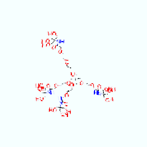 O=C(COCCOCCOCC(COCCOCC(=O)NC(CO)(CO)CO)(COCCOCC(=O)NC(CO)(CO)CO)COCCOCC(=O)NC(CO)(CO)CO)NC(CO)(CO)CO